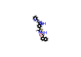 Cc1nc(NC(=O)Cc2cccc3ccccc23)sc1-c1ccc2c(/C=C/c3ccccn3)n[nH]c2c1